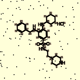 Cl.O=S(=O)(NCCN1CCNCC1)c1ccc(NC2CCCCC2)c(NCc2ccccc2)c1